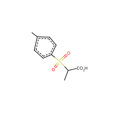 Cc1ccc(S(=O)(=O)C(C)C(=O)O)cc1